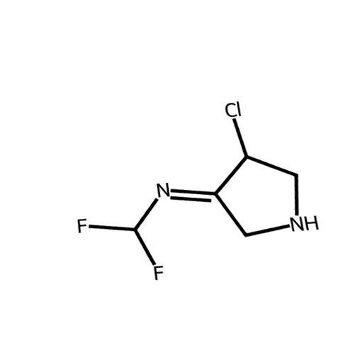 FC(F)/N=C1\CNCC1Cl